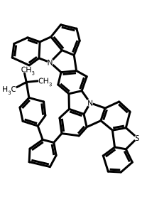 CC(C)(C)c1ccc(-c2ccccc2-c2cc3c4cc5c(cc4n4c6ccc7sc8ccccc8c7c6c(c2)c34)c2cccc3c4ccccc4n5c32)cc1